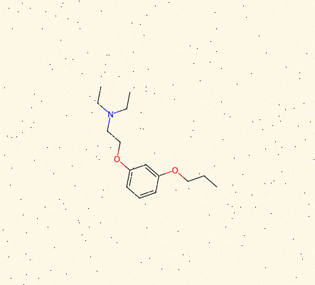 CCCOc1cccc(OCCN(CC)CC)c1